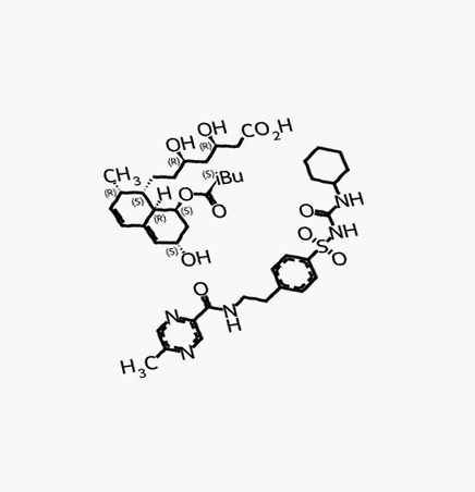 CC[C@H](C)C(=O)O[C@H]1C[C@H](O)C=C2C=C[C@H](C)[C@H](CC[C@@H](O)C[C@@H](O)CC(=O)O)[C@H]21.Cc1cnc(C(=O)NCCc2ccc(S(=O)(=O)NC(=O)NC3CCCCC3)cc2)cn1